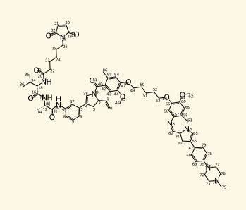 C=CC1CC(c2cccc(NC(=O)[C@H](C)NC(=O)C(NC(=O)CCCCCN3C(=O)C=CC3=O)C(C)C)c2)=CN1C(=O)c1cc(OC)c(OCCCCCOc2cc3c(cc2OC)CN2C=C(c4ccc(N5CCN(C)CC5)cc4)CC2C=N3)cc1C